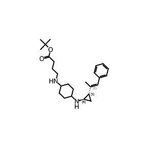 C/C(=C\c1ccccc1)[C@@H]1C[C@H]1NC1CCC(NCCCC(=O)OC(C)(C)C)CC1